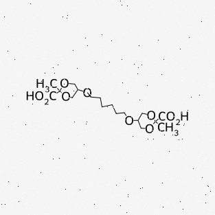 CC1(C(=O)O)OCC(OCCCCCCOC2COC(C)(C(=O)O)OC2)CO1